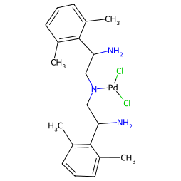 Cc1cccc(C)c1C(N)C[N](CC(N)c1c(C)cccc1C)[Pd]([Cl])[Cl]